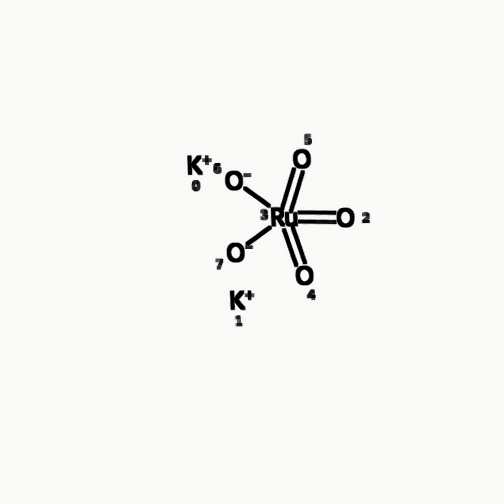 [K+].[K+].[O]=[Ru](=[O])(=[O])([O-])[O-]